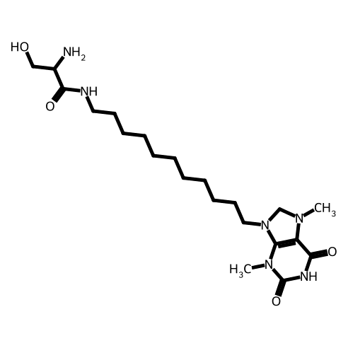 CN1CN(CCCCCCCCCCCNC(=O)C(N)CO)c2c1c(=O)[nH]c(=O)n2C